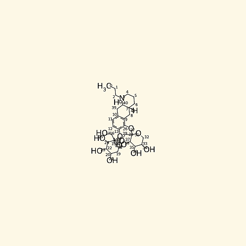 CCCN1CCC[C@@H]2Cc3c(ccc(OC4(CO)OCC(O)C(O)C4O)c3OC3(CO)OCC(O)C(O)C3O)C[C@H]21